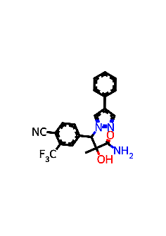 CC(O)(C(N)=O)C(c1ccc(C#N)c(C(F)(F)F)c1)n1cc(-c2ccccc2)cn1